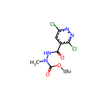 CN(NC(=O)c1cc(Cl)nnc1Cl)C(=O)OC(C)(C)C